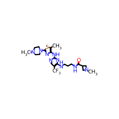 Cc1sc(N2CCN(C)CC2)nc1Nc1ncc(C(F)(F)F)c(NCCCNC(=O)C2CN(C)C2)n1